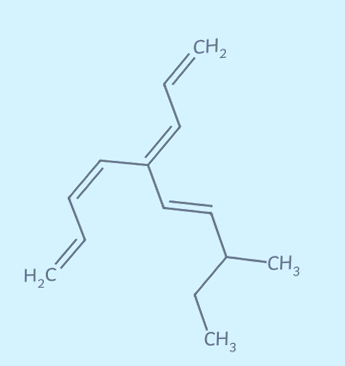 C=C\C=C/C(=C\C=C)/C=C/C(C)CC